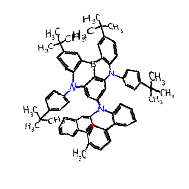 Cc1ccc(-c2ccccc2N(c2cc3c4c(c2)N(c2ccc(C(C)(C)C)cc2)c2ccc(C(C)(C)C)cc2B4c2cc(C(C)(C)C)ccc2N3c2ccc(C(C)(C)C)cc2)c2ccc3ccccc3c2)cc1